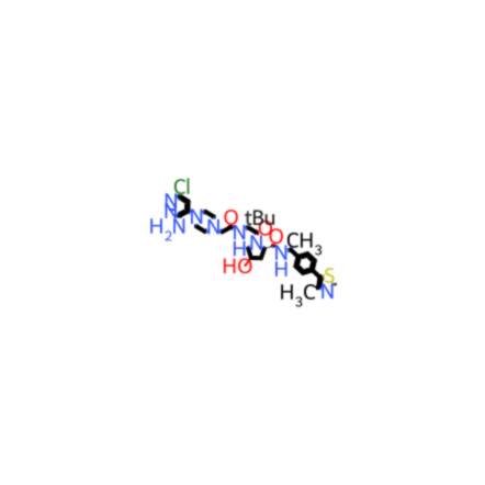 Cc1ncsc1-c1ccc([C@H](C)NC(=O)[C@@H]2C[C@@H](O)CN2C(=O)C(NC(=O)CN2CCN(c3cc(Cl)nnc3N)CC2)C(C)(C)C)cc1